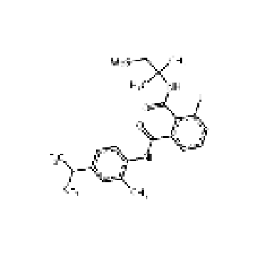 CSCC(C)(C)NC(=O)c1c(I)cccc1C(=O)Nc1ccc(C(C(F)(F)F)C(F)(F)F)cc1C